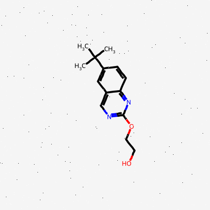 CC(C)(C)c1ccc2nc(OCCO)ncc2c1